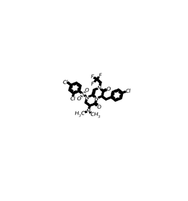 CN(C)C1CN(S(=O)(=O)c2ccc(Cl)cc2Cl)C2=CN(CC(F)(F)F)C(=O)C(Cc3ccc(Cl)cc3)N2C1=O